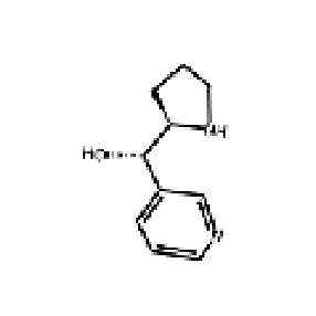 O[C@@H](c1cccnc1)[C@H]1CCCN1